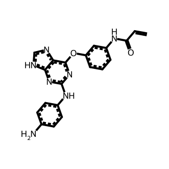 C=CC(=O)Nc1cccc(Oc2nc(Nc3ccc(N)cc3)nc3[nH]cnc23)c1